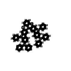 c1ccc(N(c2ccccc2)c2ccc3c4cc5c(cc4n(-c4ccccc4)c3c2)Oc2cccc3c2B5c2cc4c5ccc(N(c6ccccc6)c6ccccc6)cc5n(-c5ccccc5)c4cc2O3)cc1